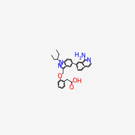 CCC(CC)n1nc(COc2ccccc2CC(=O)O)c2cc(-c3ccc4ccnc(N)c4c3)ccc21